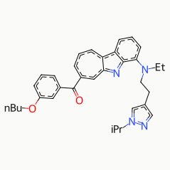 CCCCOc1cccc(C(=O)c2cccc3c4cccc(N(CC)CCc5cnn(C(C)C)c5)c4nc-3c2)c1